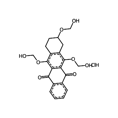 Cl.O=C1c2ccccc2C(=O)c2c(OCO)c3c(c(OCO)c21)CCC(OCO)C3